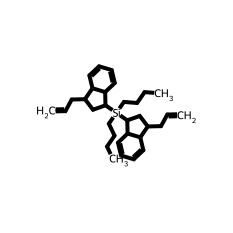 C=CCC1CC([Si](CCCC)(CCCC)C2CC(CC=C)C3C=CC=CC32)C2C=CC=CC12